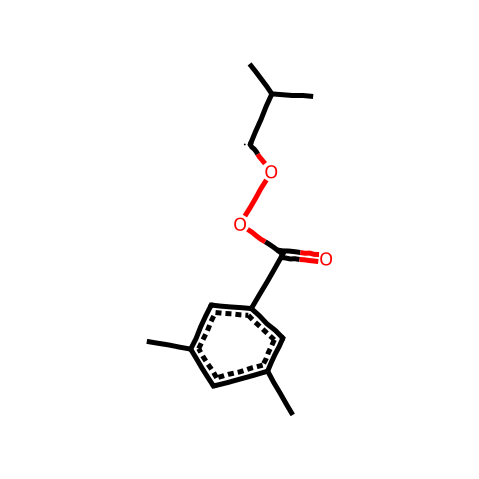 Cc1cc(C)cc(C(=O)OO[CH]C(C)C)c1